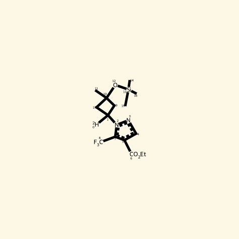 [2H]C1(n2ncc(C(=O)OCC)c2C(F)(F)F)CC(C)(O[Si](C)(C)C)C1